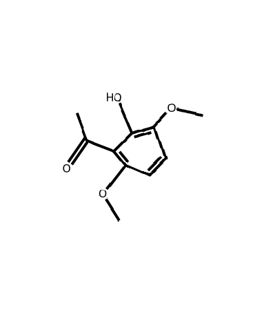 COc1ccc(OC)c(C(C)=O)c1O